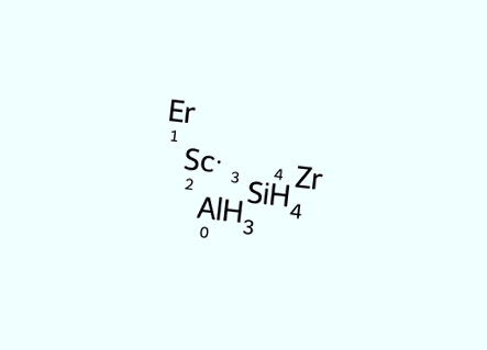 [AlH3].[Er].[Sc].[SiH4].[Zr]